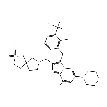 Cc1c(Cc2c(CN3CCC4(CCS(=O)(=O)C4)C3)nc3c(N)cc(N4CCOCC4)nn23)cccc1C(F)(F)F